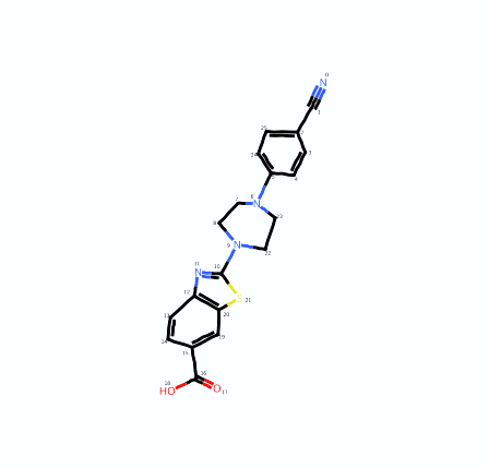 N#Cc1ccc(N2CCN(c3nc4ccc(C(=O)O)cc4s3)CC2)cc1